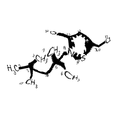 CC(C)(C)CC(C)(C)n1sc(Cl)cc1=O